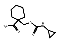 CC(=O)C1(COC(=O)NC2CC2)CCCCC1